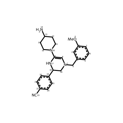 COc1cccc(CN2C=C(N3CCC(N)CC3)NC(c3ccc(C#N)cc3)C2)c1